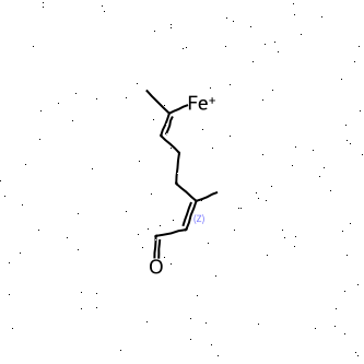 C[C]([Fe+])=CCC/C(C)=C\C=O